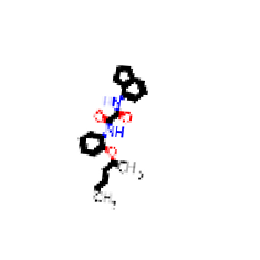 CCCCC(C)Oc1ccccc1NC(=O)C(=O)Nc1cccc2c1CCC2